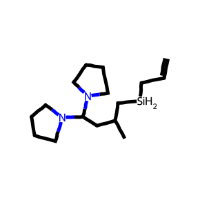 C=CC[SiH2]CC(C)CC(N1CCCC1)N1CCCC1